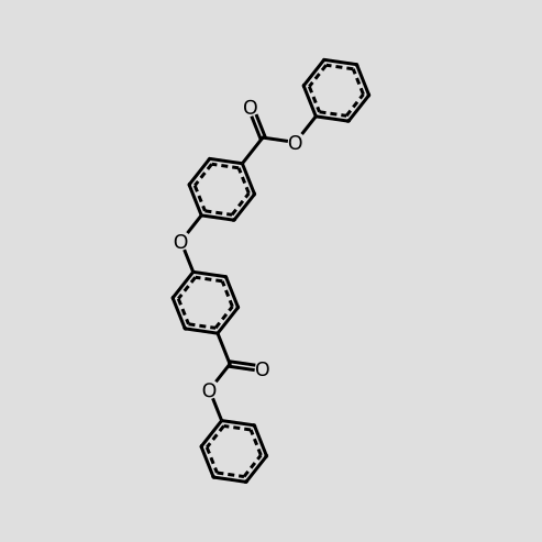 O=C(Oc1ccccc1)c1ccc(Oc2ccc(C(=O)Oc3ccccc3)cc2)cc1